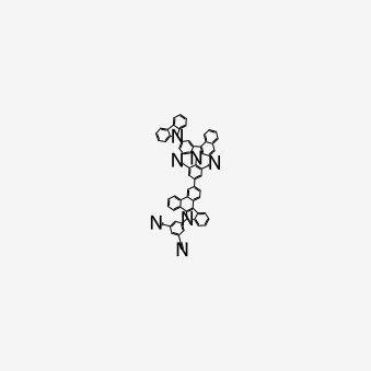 N#Cc1cc(C#N)cc(-n2c3ccccc3c3c4ccc(-c5cc(C#N)c(-n6c7ccc(-n8c9ccccc9c9ccccc98)cc7c7c8ccccc8ccc76)c(C#N)c5)cc4c4ccccc4c32)c1